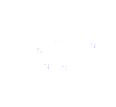 c1cc(-c2ncnc3c2OCC2COCCN32)ccn1